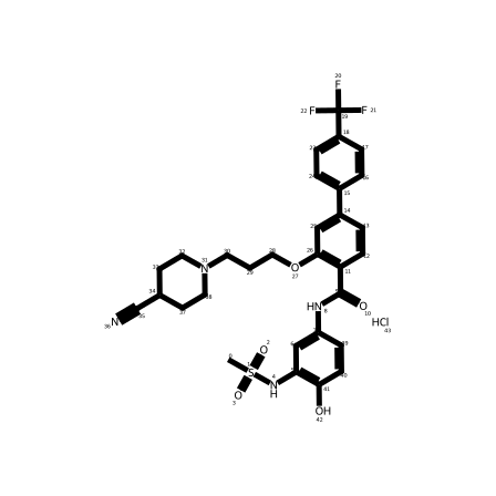 CS(=O)(=O)Nc1cc(NC(=O)c2ccc(-c3ccc(C(F)(F)F)cc3)cc2OCCCN2CCC(C#N)CC2)ccc1O.Cl